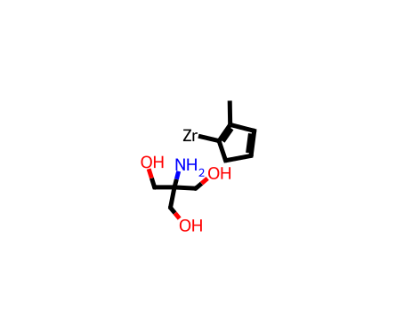 CC1=[C]([Zr])CC=C1.NC(CO)(CO)CO